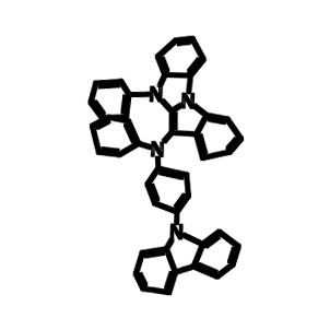 c1ccc(N(c2ccc(-n3c4ccccc4c4ccccc43)cc2)c2c3ccccc3n3c4ccccc4n(-c4ccccc4)c23)cc1